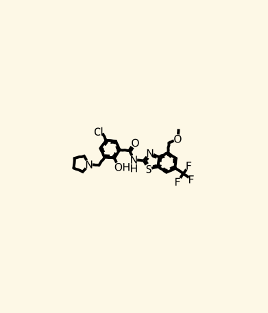 COCc1cc(C(F)(F)F)cc2sc(NC(=O)c3cc(Cl)cc(CN4CCCC4)c3O)nc12